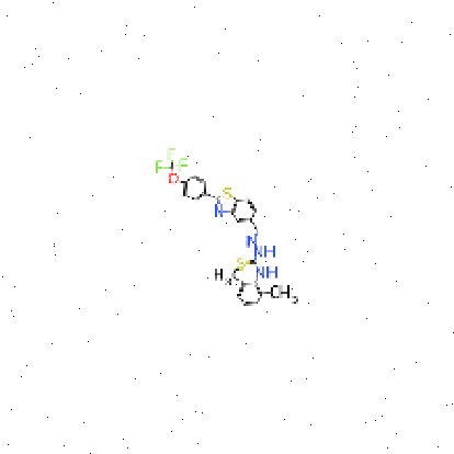 Cc1cccc(C)c1NC(=S)NN=Cc1ccc2sc(-c3ccc(OC(F)(F)F)cc3)nc2c1